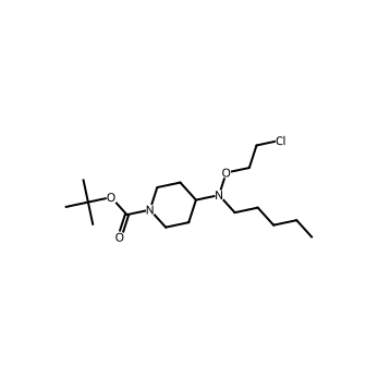 CCCCCN(OCCCl)C1CCN(C(=O)OC(C)(C)C)CC1